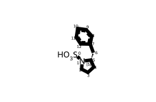 O=S(=O)(O)N1CCC[C@H]1Cc1ccccc1